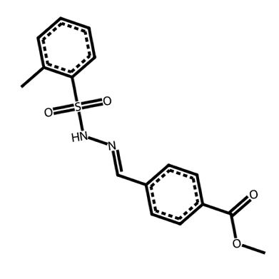 COC(=O)c1ccc(C=NNS(=O)(=O)c2ccccc2C)cc1